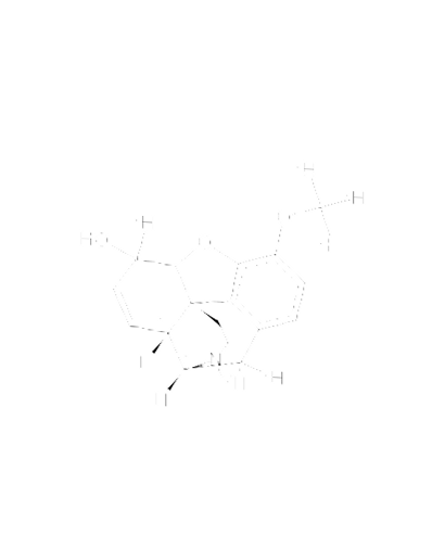 [2H]C([2H])([2H])Oc1ccc2c3c1OC1C([2H])(O)C=C[C@H]4[C@H](N(C)CC[C@]314)C2([2H])[2H]